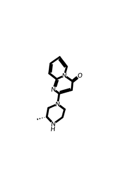 C[C@@H]1CN(c2cc(=O)n3ccccc3n2)CCN1